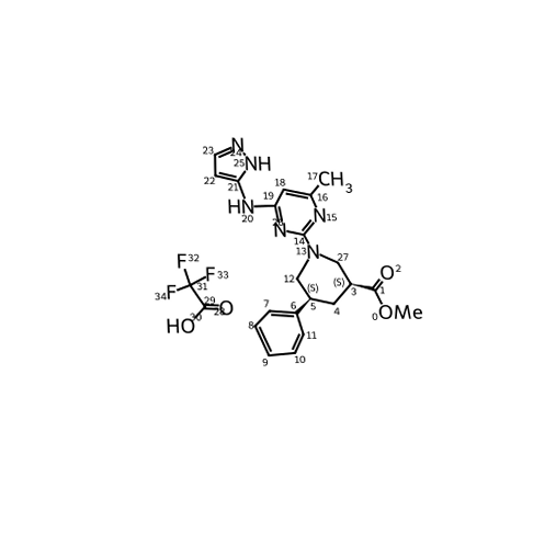 COC(=O)[C@H]1C[C@@H](c2ccccc2)CN(c2nc(C)cc(Nc3ccn[nH]3)n2)C1.O=C(O)C(F)(F)F